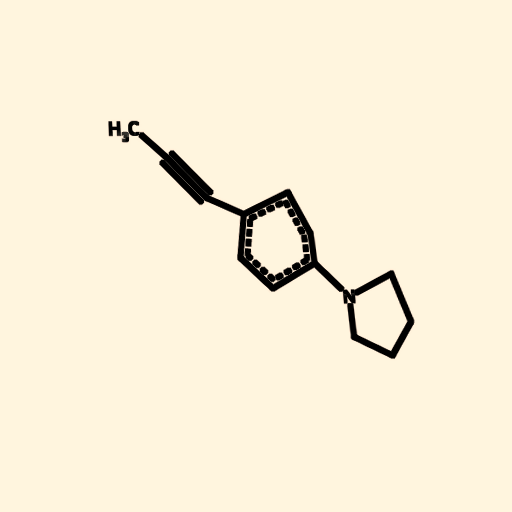 CC#Cc1ccc(N2CCCC2)cc1